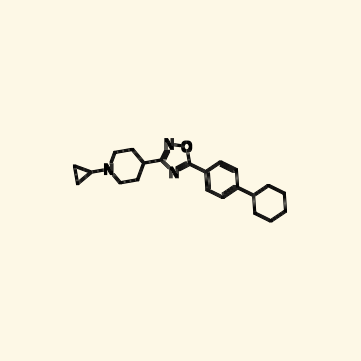 c1cc(C2CCCCC2)ccc1-c1nc(C2CCN(C3CC3)CC2)no1